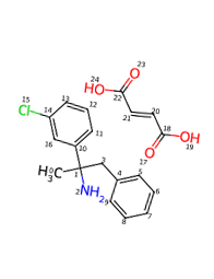 CC(N)(Cc1ccccc1)c1cccc(Cl)c1.O=C(O)C=CC(=O)O